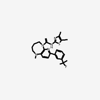 C=C(Nc1nc(C)c(C)s1)N1CCCCN(C)c2ccc(-c3cccc(C(C)(C)F)c3)nc21